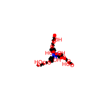 COCC(O)COCCOc1ccc(-c2nc(-c3ccc(OCCCOC(O)COC)c(C)c3O)nc(-c3ccc(OCCOCC(O)COC)c(C)c3O)n2)c(O)c1C